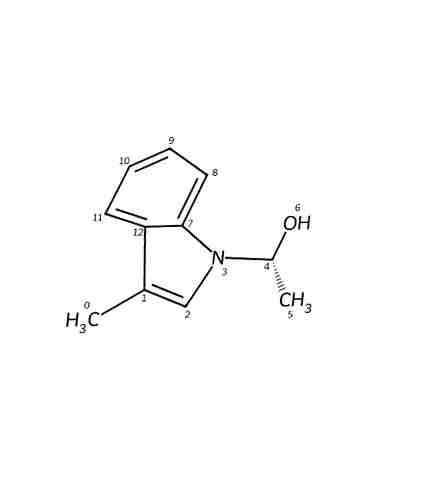 Cc1cn([C@@H](C)O)c2ccccc12